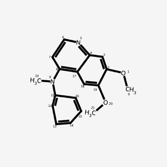 COc1cc2nccc(N(C)c3ccccc3)c2cc1OC